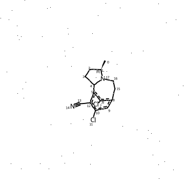 C[C@@H]1CCC2c3c(Cl)c(cc(Cl)c3C#N)CCN21